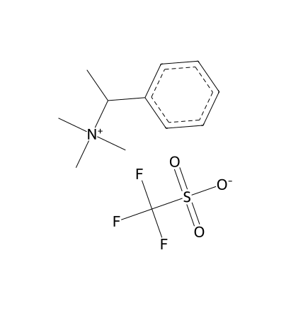 CC(c1ccccc1)[N+](C)(C)C.O=S(=O)([O-])C(F)(F)F